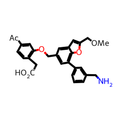 COCc1cc2cc(COc3cc(C(C)=O)ccc3CC(=O)O)cc(-c3cccc(CN)c3)c2o1